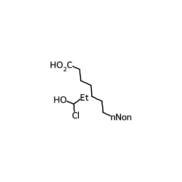 CCC(O)Cl.CCCCCCCCCCCCCCCC(=O)O